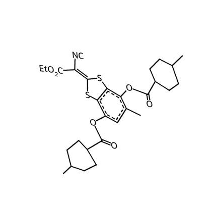 [C-]#[N+]/C(C(=O)OCC)=C1/Sc2c(OC(=O)C3CCC(C)CC3)cc(C)c(OC(=O)C3CCC(C)CC3)c2S1